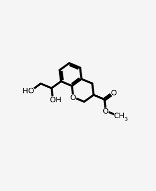 COC(=O)C1COc2c(cccc2C(O)CO)C1